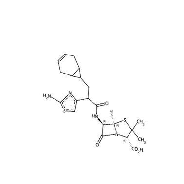 CC1(C)S[C@@H]2[C@H](NC(=O)C(CC3C4CC=CCC43)c3csc(N)n3)C(=O)N2[C@H]1C(=O)O